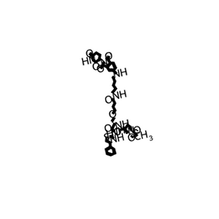 CS(=O)(=O)N1CCC(C(O)N[C@@H](CCOCCCC(=O)NCCCCCNc2ccc3c(c2)C(=O)N(C2CCC(=O)NC2=O)C3=O)C(=O)NC2NC(c3ccccc3)CS2)C1